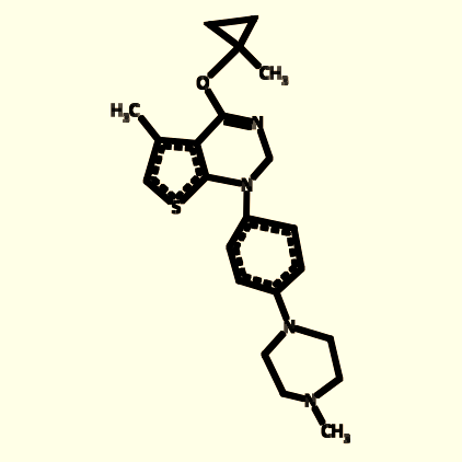 Cc1csc2c1C(OC1(C)CC1)=NCN2c1ccc(N2CCN(C)CC2)cc1